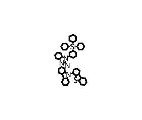 c1ccc([Si](c2ccccc2)(c2ccccc2)c2cccc(-n3c4ccccc4n4c5ccc6c7ccccc7n(-c7cccc8c7sc7ccccc78)c6c5nc34)c2)cc1